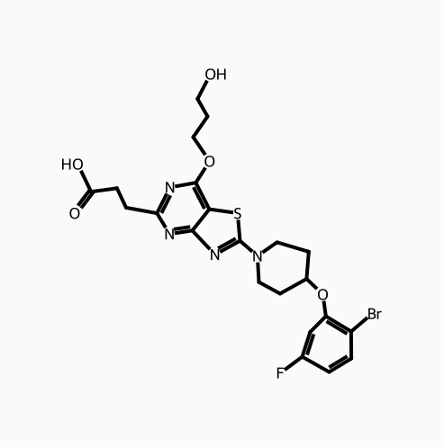 O=C(O)CCc1nc(OCCCO)c2sc(N3CCC(Oc4cc(F)ccc4Br)CC3)nc2n1